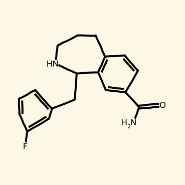 NC(=O)c1ccc2c(c1)C(Cc1cccc(F)c1)NCCC2